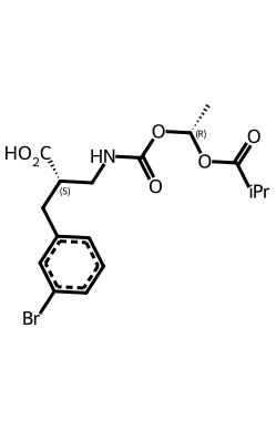 CC(C)C(=O)O[C@@H](C)OC(=O)NC[C@H](Cc1cccc(Br)c1)C(=O)O